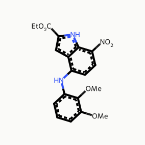 CCOC(=O)c1cc2c(Nc3cccc(OC)c3OC)ccc([N+](=O)[O-])c2[nH]1